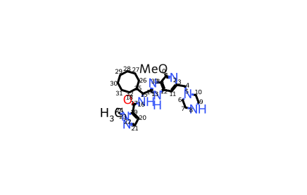 COc1nc(CN2CCNCC2)cc2[nH]c(C(NC(=O)c3ccnn3C)C3CCCCCCC3)nc12